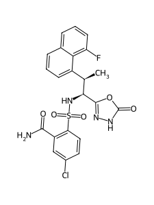 C[C@H](c1cccc2cccc(F)c12)[C@H](NS(=O)(=O)c1ccc(Cl)cc1C(N)=O)c1n[nH]c(=O)o1